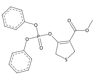 COC(=O)C1=C(OP(=O)(Oc2ccccc2)Oc2ccccc2)CSC1